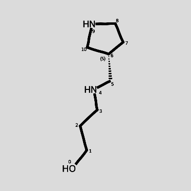 OCCCNC[C@H]1CCNC1